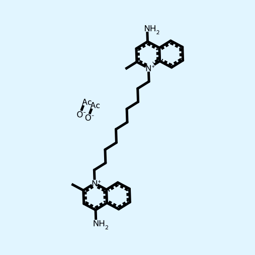 CC(=O)[O-].CC(=O)[O-].Cc1cc(N)c2ccccc2[n+]1CCCCCCCCCC[n+]1c(C)cc(N)c2ccccc21